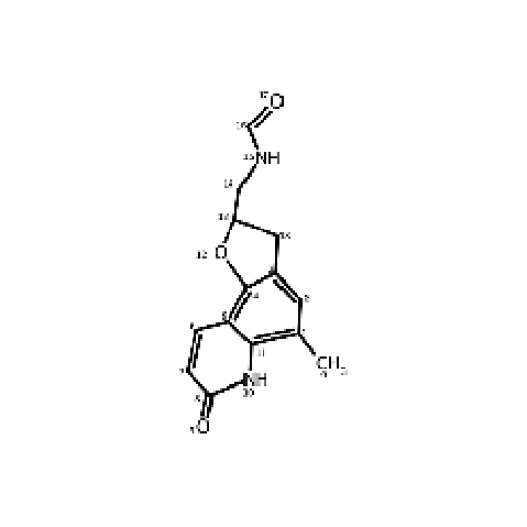 Cc1cc2c(c3ccc(=O)[nH]c13)OC(CNC=O)C2